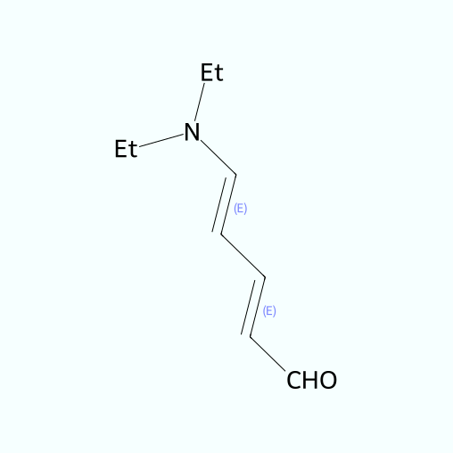 CCN(/C=C/C=C/C=O)CC